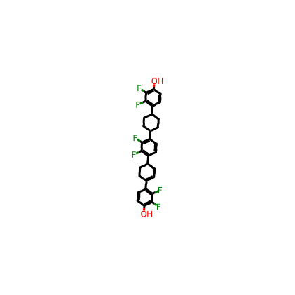 Oc1ccc(C2=CCC(c3ccc(C4CCC(c5ccc(O)c(F)c5F)CC4)c(F)c3F)CC2)c(F)c1F